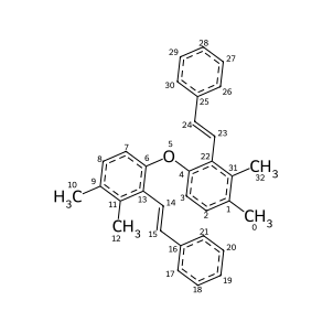 Cc1ccc(Oc2ccc(C)c(C)c2C=Cc2ccccc2)c(C=Cc2ccccc2)c1C